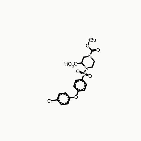 CC(C)(C)OC(=O)N1CCN(S(=O)(=O)c2ccc(Oc3ccc(Cl)cc3)cc2)C(C(=O)O)C1